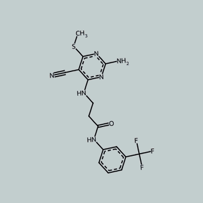 CSc1nc(N)nc(NCCC(=O)Nc2cccc(C(F)(F)F)c2)c1C#N